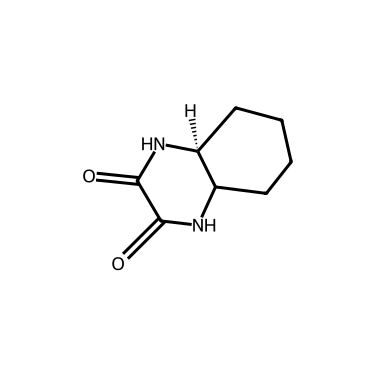 O=C1NC2CCCC[C@@H]2NC1=O